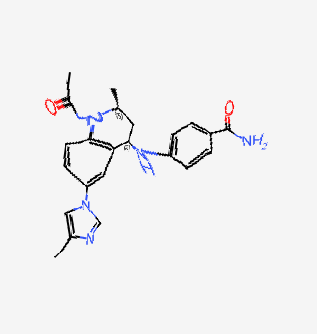 CC(=O)N1c2ccc(-n3cnc(C)c3)cc2[C@H](Nc2ccc(C(N)=O)cc2)C[C@@H]1C